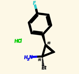 CC[C@@]1(N)C[C@@H]1c1ccc(F)cc1.Cl